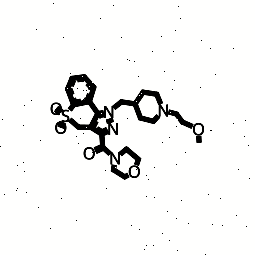 COCCN1CCC(Cn2nc(C(=O)N3CCOCC3)c3c2-c2ccccc2S(=O)(=O)C3)CC1